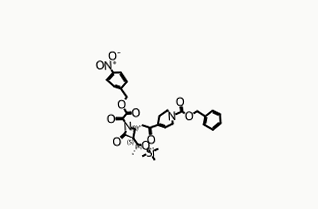 C[C@@H](O[Si](C)(C)C)[C@H]1C(=O)N(C(=O)C(=O)OCc2ccc([N+](=O)[O-])cc2)[C@@H]1CC(=O)C1=CCN(C(=O)OCc2ccccc2)CC1